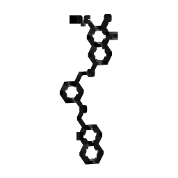 O=C(O)c1cc2cc(OCc3cccc(OCc4ccc5ccccc5n4)c3)ccc2[nH]c1=O